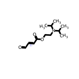 CC(C)N(CCOC(=O)/C=C/C=O)C(C)C